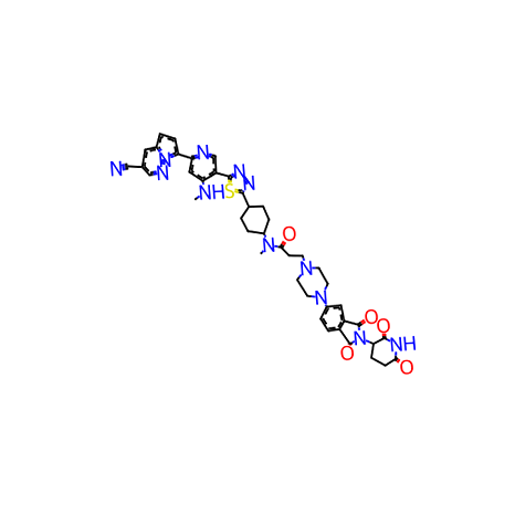 CNc1cc(-c2ccc3cc(C#N)cnn23)ncc1-c1nnc(C2CCC(N(C)C(=O)CCN3CCN(c4ccc5c(c4)C(=O)N(C4CCC(=O)NC4=O)C5=O)CC3)CC2)s1